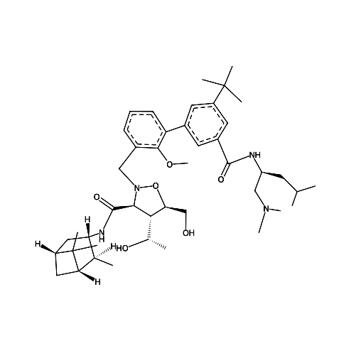 COc1c(CN2O[C@@H](CO)[C@H]([C@H](C)O)[C@H]2C(=O)N[C@H]2C[C@H]3C[C@@H]([C@@H]2C)C3(C)C)cccc1-c1cc(C(=O)N[C@@H](CC(C)C)CN(C)C)cc(C(C)(C)C)c1